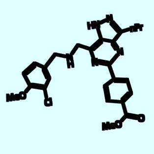 CCCc1n[nH]c2c(CNCc3ccc(OC)c(Cl)c3)nc(-c3ccc(C(=O)OC)cc3)nc12